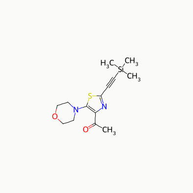 CC(=O)c1nc(C#C[Si](C)(C)C)sc1N1CCOCC1